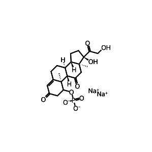 C[C@]12CC(=O)[C@H]3[C@@H](CCC4=CC(=O)CC(OP(=O)([O-])[O-])[C@@]43C)[C@@H]1CC[C@]2(O)C(=O)CO.[Na+].[Na+]